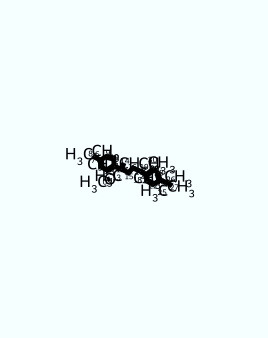 COc1cc(C(C)(C)C)ccc1C(C)(C)CCC(C)(C)c1ccc(C(C)(C)C)cc1C